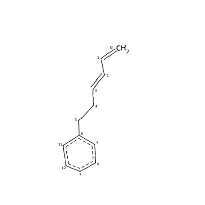 C=C/C=C/CCc1ccccc1